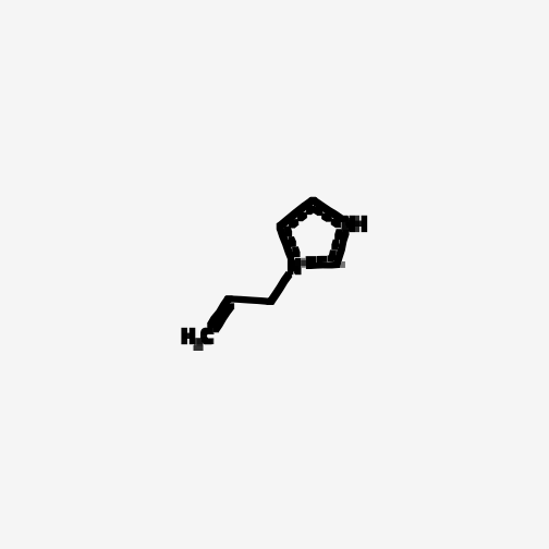 C=CC[n+]1[c][nH]cc1